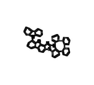 c1cc(-n2c3ccccc3c3ccccc32)c2oc3c(ccc4c3nc3n4c4cccc5c6ccccc6c6ccccc6c6ccccc6n3c54)c2c1